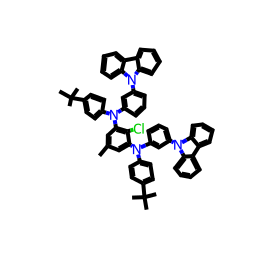 Cc1cc(N(c2ccc(C(C)(C)C)cc2)c2cccc(-n3c4ccccc4c4ccccc43)c2)c(Cl)c(N(c2ccc(C(C)(C)C)cc2)c2cccc(-n3c4ccccc4c4ccccc43)c2)c1